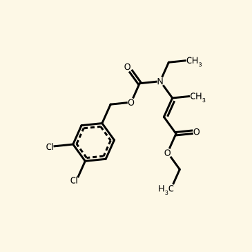 CCOC(=O)C=C(C)N(CC)C(=O)OCc1ccc(Cl)c(Cl)c1